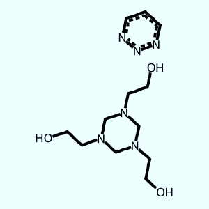 OCCN1CN(CCO)CN(CCO)C1.c1cnnnc1